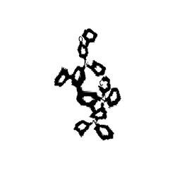 c1ccc(-c2cc(-c3ccc4c(c3)[Si](c3ccccc3)(c3ccccc3)c3ccc(N(c5ccccc5)c5ccccc5)cc3-4)cc(N(c3ccccc3)c3ccc4oc5ccccc5c4c3)c2)cc1